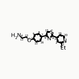 CCc1cc(-c2nc(-c3ccc(OCCN)cc3)cs2)ccn1